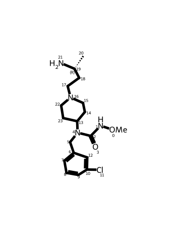 CONC(=O)N(Cc1cccc(Cl)c1)C1CCN(CC[C@@H](C)N)CC1